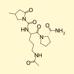 CC(=O)NCCCC(NC(=O)N1CC(C)CC1=O)C(=O)N1CCC[C@H]1C(N)=O